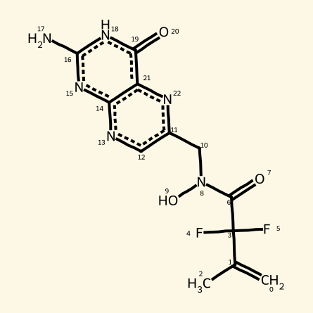 C=C(C)C(F)(F)C(=O)N(O)Cc1cnc2nc(N)[nH]c(=O)c2n1